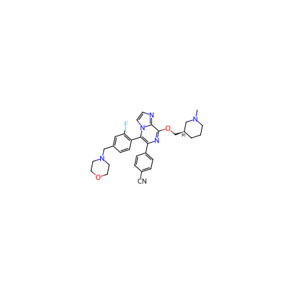 CN1CCC[C@@H](COc2nc(-c3ccc(C#N)cc3)c(-c3ccc(CN4CCOCC4)cc3F)n3ccnc23)C1